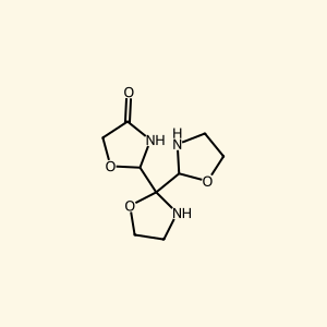 O=C1COC(C2(C3NCCO3)NCCO2)N1